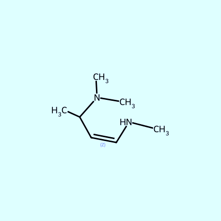 CN/C=C\C(C)N(C)C